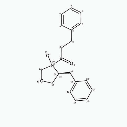 O=C(CCc1ccccc1)[N+]1([O-])COC[C@@H]1Cc1ccccc1